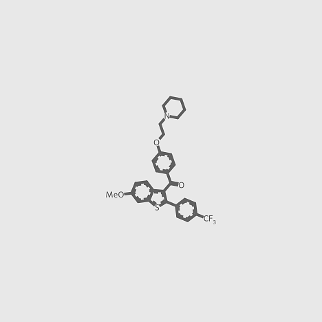 COc1ccc2c(C(=O)c3ccc(OCCN4CCCCC4)cc3)c(-c3ccc(C(F)(F)F)cc3)sc2c1